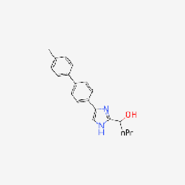 CCCC(O)c1nc(-c2ccc(-c3ccc(C)cc3)cc2)c[nH]1